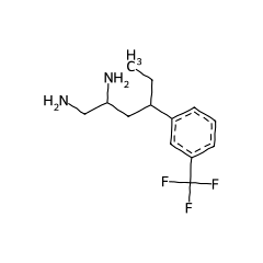 CCC(CC(N)CN)c1cccc(C(F)(F)F)c1